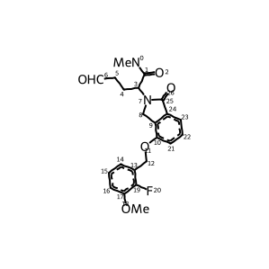 CNC(=O)C(CCC=O)N1Cc2c(OCc3cccc(OC)c3F)cccc2C1=O